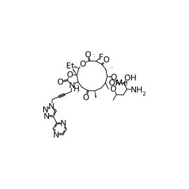 CC[C@H]1OC(=O)[C@@](C)(F)C(=O)[C@H](C)[C@@H](O[C@@H]2OC(C)CC(N)C2O)[C@](C)(OC)C[C@@H](C)C(=O)[C@H](C)[C@H]2N(CC#CCn3cc(-c4cnccn4)nn3)C(=O)O[C@]12C